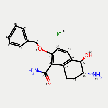 Cl.NC(=O)c1c(OCc2ccccc2)ccc2c1CC[C@@H](N)[C@@H]2O